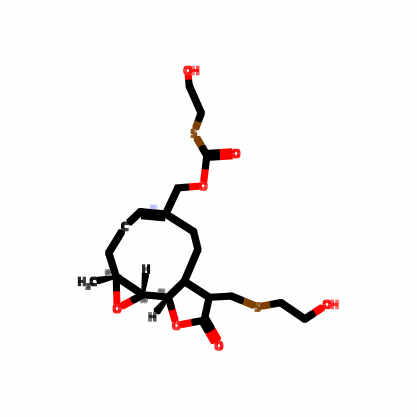 C[C@@]12CC/C=C(/COC(=O)SCCO)CCC3C(CSCCO)C(=O)O[C@@H]3[C@@H]1O2